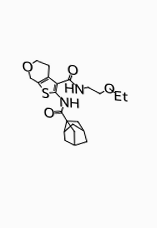 CCOCCNC(=O)c1c(NC(=O)C23CC4CC(CC2C4)C3)sc2c1CCOC2